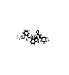 O=C(Nc1cccc2nn3c(C4CCNCC4)cc(=O)[nH]c3c12)c1ccccc1OC(F)(F)F